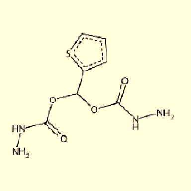 NNC(=O)OC(OC(=O)NN)c1cccs1